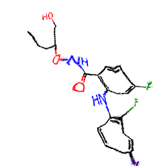 CCC(CO)ONC(=O)c1ccc(F)cc1Nc1ccc(I)cc1F